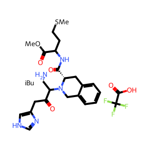 CC[C@H](C)[C@H](N)C(C(=O)Cc1c[nH]cn1)N1Cc2ccccc2C[C@H]1C(=O)NC(CCSC)C(=O)OC.O=C(O)C(F)(F)F